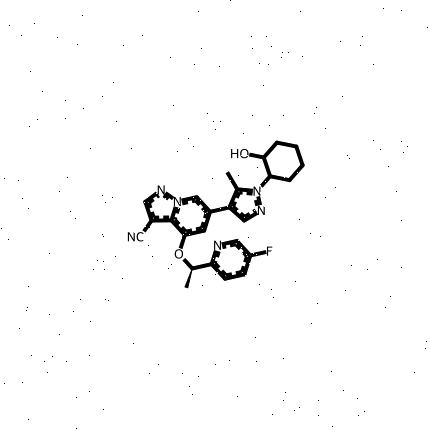 Cc1c(-c2cc(O[C@H](C)c3ccc(F)cn3)c3c(C#N)cnn3c2)cnn1C1CCCCC1O